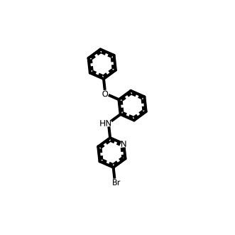 Brc1ccc(Nc2ccccc2Oc2ccccc2)nc1